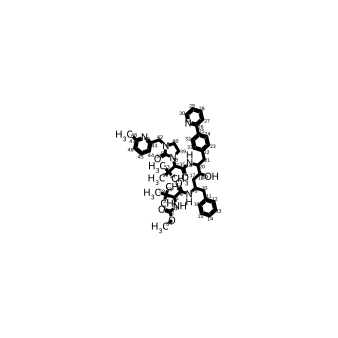 COC(=O)NC(C(=O)NC(Cc1ccccc1)CC(O)C(Cc1ccc(-c2ccccn2)cc1)NC(=O)C(N1CCN(Cc2cccc(C)n2)C1=O)C(C)(C)C)C(C)(C)C